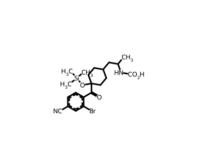 CC(CC1CCC(O[Si](C)(C)C)(C(=O)c2ccc(C#N)cc2Br)CC1)NC(=O)O